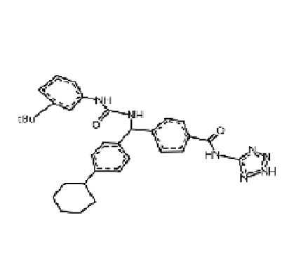 CC(C)(C)c1cccc(NC(=O)NC(c2ccc(C(=O)Nc3nn[nH]n3)cc2)c2ccc(C3CCCCC3)cc2)c1